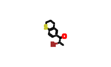 CC(Br)C(=O)c1ccc2c(c1)CCCS2